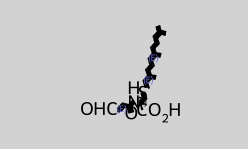 CC(C)=CCC/C(C)=C/CC/C(C)=C/CSC[C@H](NC(=O)/C=C/C=O)C(=O)O